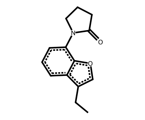 CCc1coc2c(N3CCCC3=O)cccc12